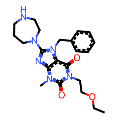 CCOCCn1c(=O)c2c(nc(N3CCCNCC3)n2Cc2ccccc2)n(C)c1=O